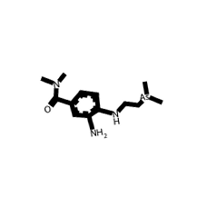 CN(C)C(=O)c1ccc(NCC[As](C)C)c(N)c1